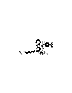 CCCCCCCOC[C@@]12O[C@@H](CN3CCCCCC3)[C@@H](OC(=O)Nc3ccc([N+](=O)[O-])cc3)[C@@H]1OC(C)(C)O2